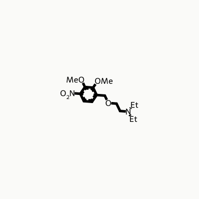 CCN(CC)CCOCc1ccc([N+](=O)[O-])c(OC)c1OC